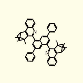 CC12CCC(c3c1c(-c1cc(-c4ccccc4)cc4c(-c5nc6ccccc6c6c5C5(C)CCC6C5(C)C)cc(-c5ccccc5)cc14)nc1ccccc31)C2(C)C